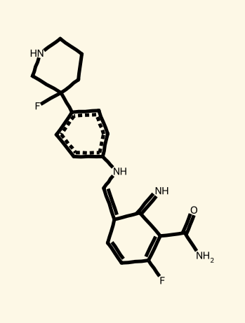 N=C1C(C(N)=O)=C(F)C=C/C1=C/Nc1ccc(C2(F)CCCNC2)cc1